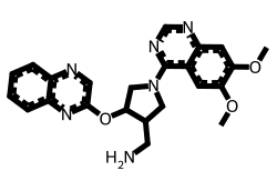 COc1cc2ncnc(N3CC(CN)C(Oc4cnc5ccccc5n4)C3)c2cc1OC